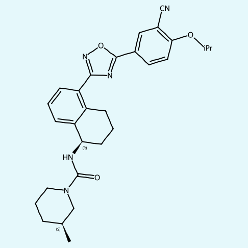 CC(C)Oc1ccc(-c2nc(-c3cccc4c3CCC[C@H]4NC(=O)N3CCC[C@H](C)C3)no2)cc1C#N